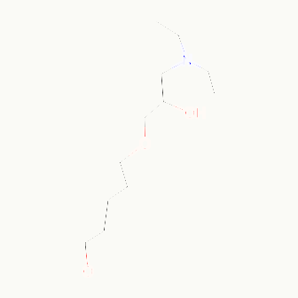 CCN(CC)CC(O)COCCCCC[O]